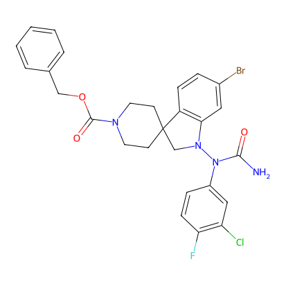 NC(=O)N(c1ccc(F)c(Cl)c1)N1CC2(CCN(C(=O)OCc3ccccc3)CC2)c2ccc(Br)cc21